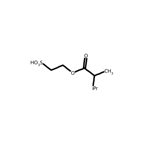 CC(C)C(C)C(=O)OCCS(=O)(=O)O